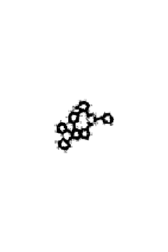 c1ccc(-c2nc(-c3ccccc3)nc(-c3cccc4sc5ccc(-c6cccc(-c7ccccc7)c6-c6ccccc6)cc5c34)n2)cc1